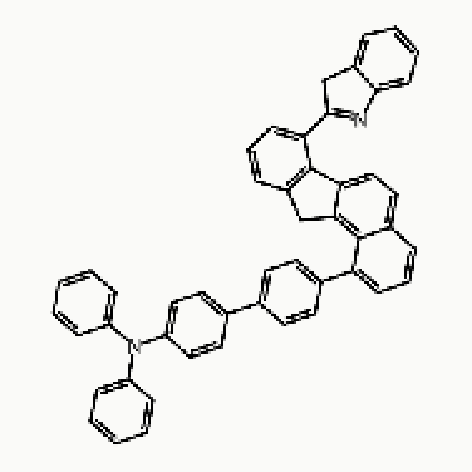 c1ccc(N(c2ccccc2)c2ccc(-c3ccc(-c4cccc5ccc6c(c45)Cc4cccc(C5=Nc7ccccc7C5)c4-6)cc3)cc2)cc1